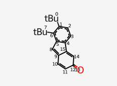 CC(C)(C)c1ccc2c(c1C(C)(C)C)C=C1C=CC(=O)C=C12